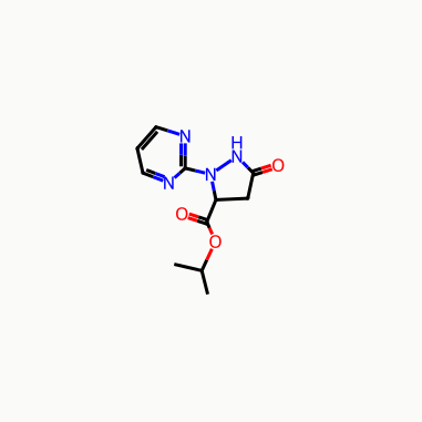 CC(C)OC(=O)C1CC(=O)NN1c1ncccn1